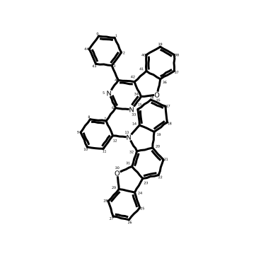 c1ccc(-c2nc(-c3ccccc3-n3c4ccccc4c4ccc5c6ccccc6oc5c43)nc3oc4ccccc4c23)cc1